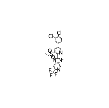 CCS(=O)(=O)c1cc(-c2ccc(Cl)c(Cl)c2)cnc1-c1nc2cc(C(F)(F)F)ncc2n1C